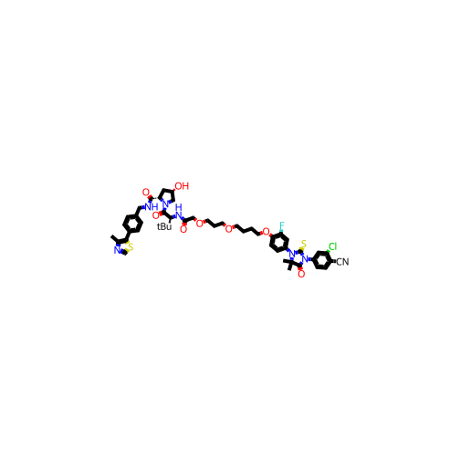 Cc1ncsc1-c1ccc(CNC(=O)[C@@H]2C[C@@H](O)CN2C(=O)[C@@H](NC(=O)COCCCOCCCCOc2ccc(N3C(=S)N(c4ccc(C#N)c(Cl)c4)C(=O)C3(C)C)cc2F)C(C)(C)C)cc1